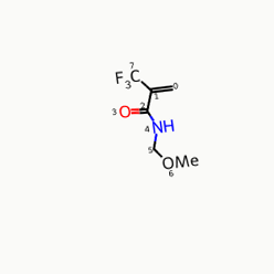 C=C(C(=O)NCOC)C(F)(F)F